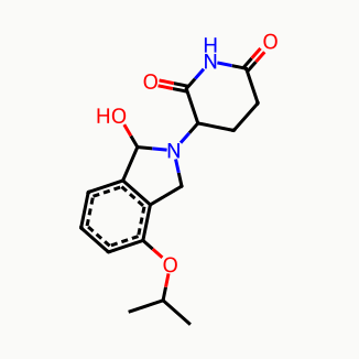 CC(C)Oc1cccc2c1CN(C1CCC(=O)NC1=O)C2O